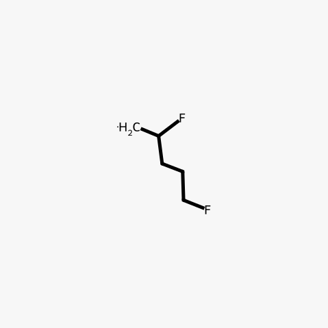 [CH2]C(F)CCCF